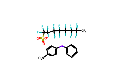 O=S(=O)([O-])C(F)(F)C(F)(F)C(F)(F)C(F)(F)C(F)(F)C(F)(F)C(F)(F)C(F)(F)F.O=[N+]([O-])c1ccc([I+]c2ccccc2)cc1